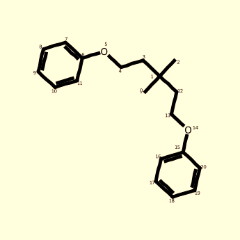 [CH2]C(C)(CCOc1ccccc1)CCOc1ccccc1